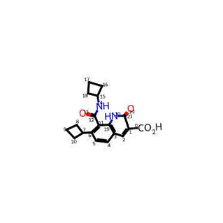 O=C(O)c1cc2ccc(C3CCC3)c(C(=O)NC3CCC3)c2[nH]c1=O